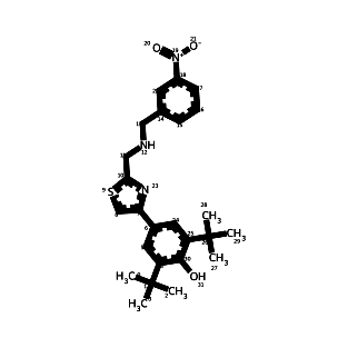 CC(C)(C)c1cc(-c2csc(CNCc3cccc([N+](=O)[O-])c3)n2)cc(C(C)(C)C)c1O